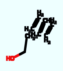 C=C.C=C.C=C.CCO